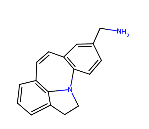 NCc1ccc2c(c1)C=Cc1cccc3c1N2CC3